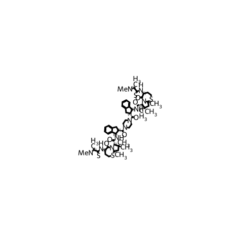 CN[C@@H](C)C(=S)N[C@H]1CCS[C@@]2(C)CC(C)(C)[C@@H](C(=O)N[C@H]3c4ccccc4C[C@H]3C(=O)N3CCN(C(=O)[C@@H]4Cc5ccccc5[C@@H]4NC(=O)[C@H]4N5C(=O)[C@@H](NC(=S)[C@H](C)NC)CCS[C@@]5(C)CC4(C)C)CC3)N2C1=O